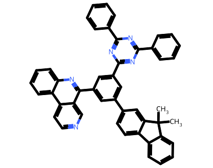 CC1(C)c2ccccc2-c2ccc(-c3cc(-c4nc(-c5ccccc5)nc(-c5ccccc5)n4)cc(-c4nc5ccccc5c5ccncc45)c3)cc21